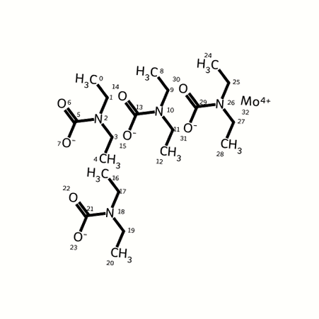 CCN(CC)C(=O)[O-].CCN(CC)C(=O)[O-].CCN(CC)C(=O)[O-].CCN(CC)C(=O)[O-].[Mo+4]